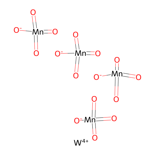 [O]=[Mn](=[O])(=[O])[O-].[O]=[Mn](=[O])(=[O])[O-].[O]=[Mn](=[O])(=[O])[O-].[O]=[Mn](=[O])(=[O])[O-].[W+4]